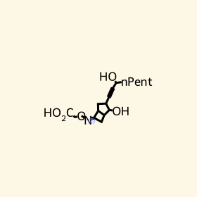 CCCCCC(O)C#CC1CC2/C(=N\OCC(=O)O)CC2C1O